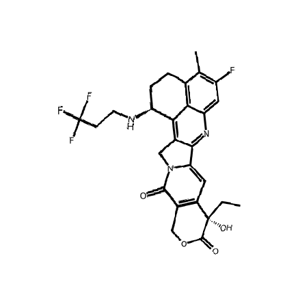 CC[C@@]1(O)C(=O)OCc2c1cc1n(c2=O)Cc2c-1nc1cc(F)c(C)c3c1c2[C@@H](NCCC(F)(F)F)CC3